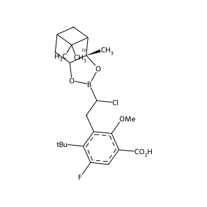 COc1c(C(=O)O)cc(F)c(C(C)(C)C)c1CC(Cl)B1OC2CC3CC(C3(C)C)[C@]2(C)O1